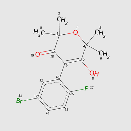 CC1(C)OC(C)(C)C(O)=C(c2cc(Br)ccc2F)C1=O